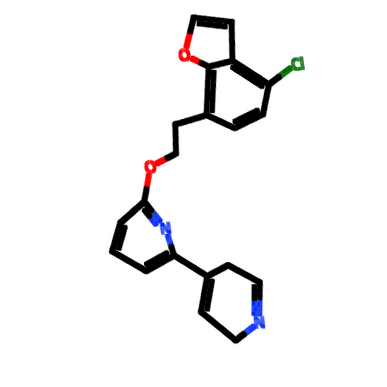 Clc1ccc(CCOc2cccc(C3=CCN=CC3)n2)c2occc12